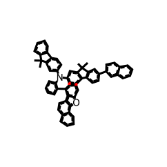 CC1(C)c2ccccc2-c2ccc(N(c3ccc4c(c3)C(C)(C)c3cc(-c5ccc6ccccc6c5)ccc3-4)c3ccccc3-c3cccc4oc5c6ccccc6ccc5c34)cc21